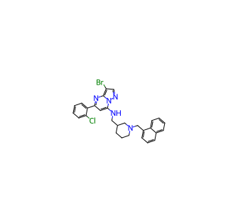 Clc1ccccc1-c1cc(NCC2CCCN(Cc3cccc4ccccc34)C2)n2ncc(Br)c2n1